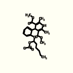 CCCCCC(Oc1ccccc1C1C(C(=O)OC)=C(C)NC(C)=C1C(=O)OC)O[N+](=O)[O-]